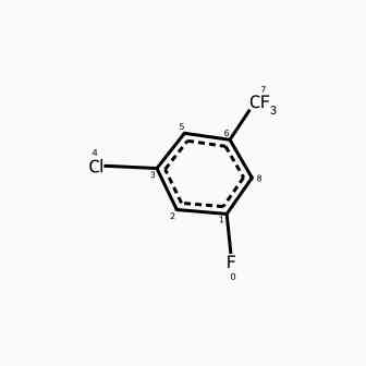 Fc1cc(Cl)cc(C(F)(F)F)c1